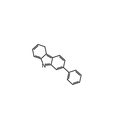 C1=CCC2=c3ccc(-c4ccccc4)cc3=NC2=C1